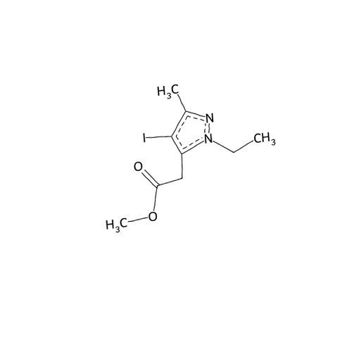 CCn1nc(C)c(I)c1CC(=O)OC